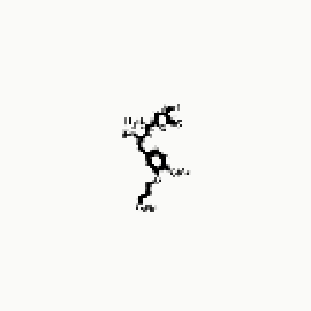 COCCCOc1cc(CC(C[C@H](N)C2CC(C(C)C)C(=O)O2)C(C)C)ccc1OC